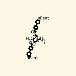 CCCCCC1CCC(c2ccc(C(=O)OCCN3C(C)(C)CC(OC(=O)c4ccc(C5CCC(CCCCC)CC5)cc4)CC3(C)C)cc2)CC1